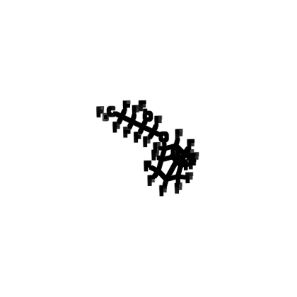 O=C1C2(F)C(F)(F)C3(F)C(F)(F)C1(F)C(F)(OC(F)(F)C(F)(OF)C(F)(F)C(F)(F)C(F)(F)F)C(F)(C2(F)F)C3(F)F